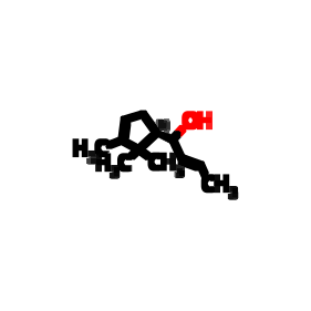 CC=CC(O)[C@@H]1CC=C(C)C1(C)C